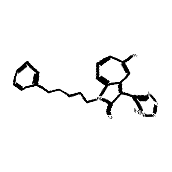 CC(C)c1cccc2n(CCCCCc3ccccc3)c(=O)c(-c3nnn[nH]3)c-2c1